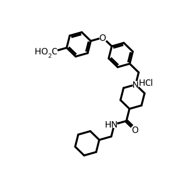 Cl.O=C(O)c1ccc(Oc2ccc(CN3CCC(C(=O)NCC4CCCCC4)CC3)cc2)cc1